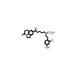 O=C(CCCCN(CCc1ccc(O)cc1Cl)C(=O)O)c1cc2c3c(c1)CCN3C(=O)CC2